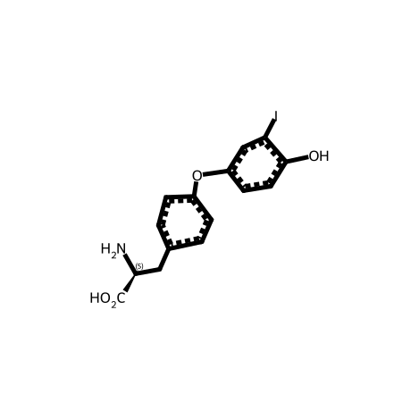 N[C@@H](Cc1ccc(Oc2ccc(O)c(I)c2)cc1)C(=O)O